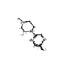 Cc1cnc(N2CCN(C)C[C@H]2C)cn1